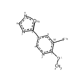 COc1ncc(-c2ncno2)cc1F